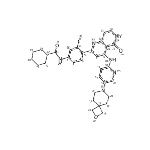 O=C(Nc1ccc(-c2cc(Nc3ccc(N4CCC5(CC4)COC5)cn3)c3c(=O)[nH]ccc3n2)c(F)c1)C1CCCCC1